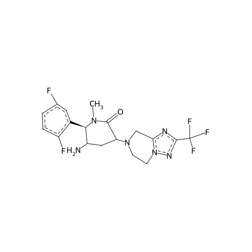 CN1C(=O)C(N2CCn3nc(C(F)(F)F)nc3C2)CC(N)[C@H]1c1cc(F)ccc1F